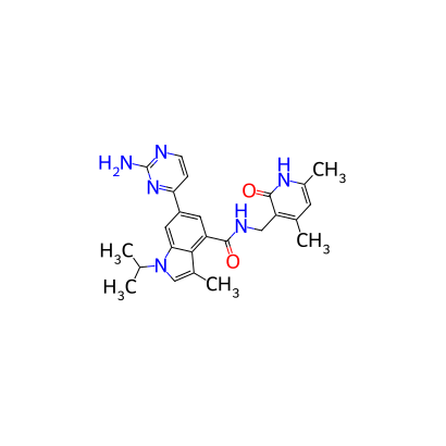 Cc1cc(C)c(CNC(=O)c2cc(-c3ccnc(N)n3)cc3c2c(C)cn3C(C)C)c(=O)[nH]1